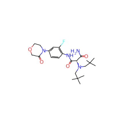 CC(C)(C)CN(CC(C)(C)C)[C@H](C(N)=O)C(=O)Nc1ccc(N2CCOCC2=O)cc1F